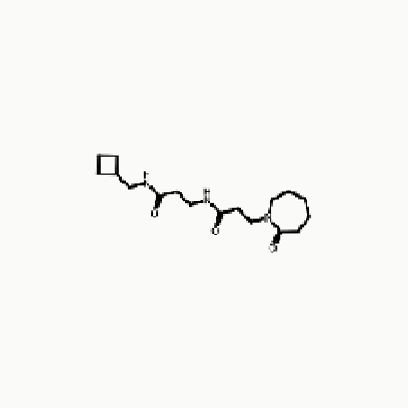 O=C(CCN1CCCCCC1=O)NCCC(=O)NCC1CCC1